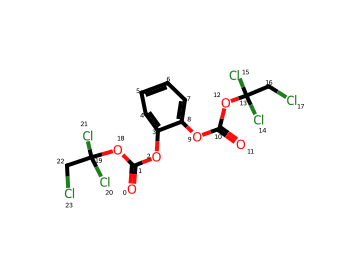 O=C(Oc1c[c]ccc1OC(=O)OC(Cl)(Cl)CCl)OC(Cl)(Cl)CCl